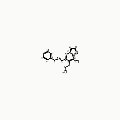 ClCCc1c(COCc2ccccc2)nc2ccnn2c1Cl